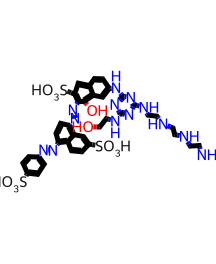 NCCNCCNCCNc1nc(NCCO)nc(Nc2ccc3cc(S(=O)(=O)O)c(/N=N/c4ccc(/N=N/c5ccc(S(=O)(=O)O)cc5)c5ccc(S(=O)(=O)O)cc45)c(O)c3c2)n1